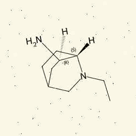 CCN1CC2CC[C@H]1[C@H](N)C2